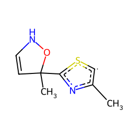 Cc1[c]sc(C2(C)C=CNO2)n1